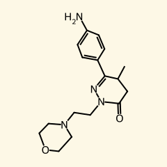 CC1CC(=O)N(CCN2CCOCC2)N=C1c1ccc(N)cc1